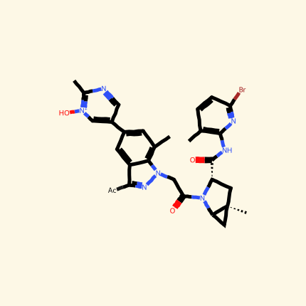 CC(=O)c1nn(CC(=O)N2C3C[C@]3(C)C[C@H]2C(=O)Nc2nc(Br)ccc2C)c2c(C)cc(-c3cnc(C)[n+](O)c3)cc12